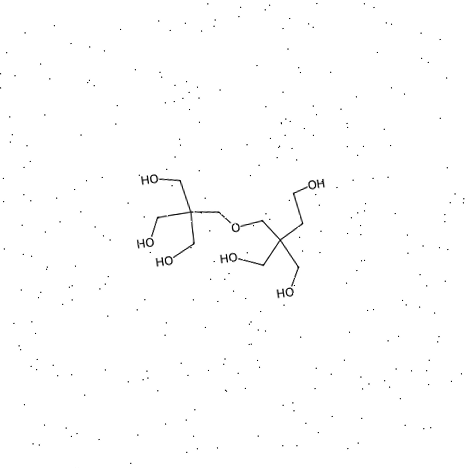 OCCC(CO)(CO)COCC(CO)(CO)CO